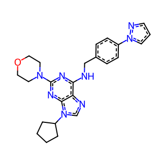 c1cnn(-c2ccc(CNc3nc(N4CCOCC4)nc4c3ncn4C3CCCC3)cc2)c1